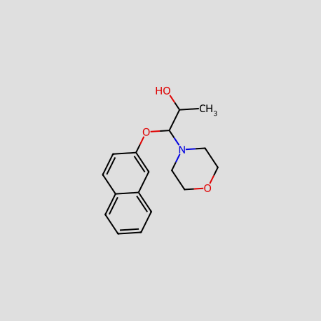 CC(O)C(Oc1ccc2ccccc2c1)N1CCOCC1